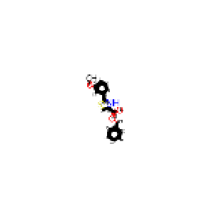 COc1cccc(C2NC(C(=O)OCc3ccccc3)CS2)c1